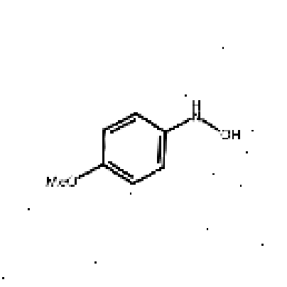 COc1ccc(NO)cc1